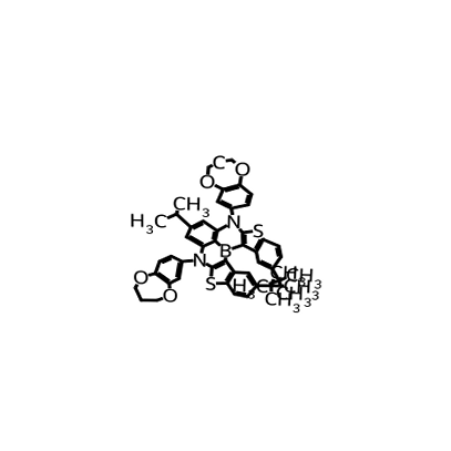 CC(C)c1cc2c3c(c1)N(c1ccc4c(c1)OCCCO4)c1sc4ccc(C(C)(C)C)cc4c1B3c1c(sc3ccc(C(C)(C)C)cc13)N2c1ccc2c(c1)OCCCO2